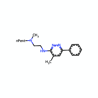 CCCCCN(C)CCNc1nnc(-c2ccccc2)cc1C